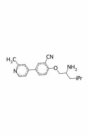 Cc1cc(-c2ccc(OCC(N)CC(C)C)c(C#N)c2)ccn1